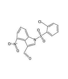 O=Cc1cn(S(=O)(=O)c2ccccc2Cl)c2cccc([N+](=O)[O-])c12